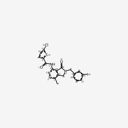 Cc1nnc(NC(=O)c2ccc(Cl)s2)c2c1CN(Cc1cccc(I)c1)C2=O